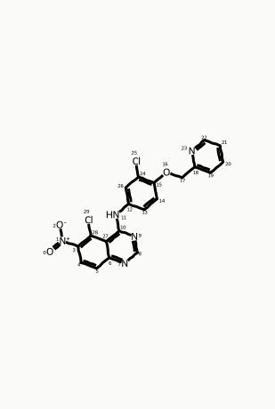 O=[N+]([O-])c1ccc2ncnc(Nc3ccc(OCc4ccccn4)c(Cl)c3)c2c1Cl